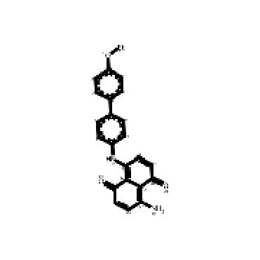 CCOc1ccc(-c2ccc(NC3=C4C(=O)C=CC(N)=C4C(=O)C=C3)cc2)cc1